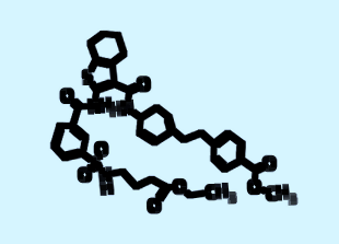 CCOC(=O)CCCNS(=O)(=O)c1cccc(C(=O)Nc2sc3c(c2C(=O)NC2C=CC(CCc4ccc(C(=O)OC)cc4)=CC2)CCCC3)c1